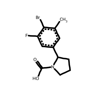 Cc1cc(C2CCCN2C(=O)O)cc(F)c1Br